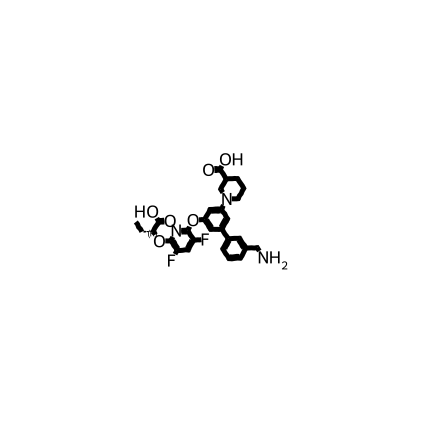 CC[C@@H](Oc1nc(Oc2cc(-c3cccc(CN)c3)cc(N3CCCC(C(=O)O)C3)c2)c(F)cc1F)C(=O)O